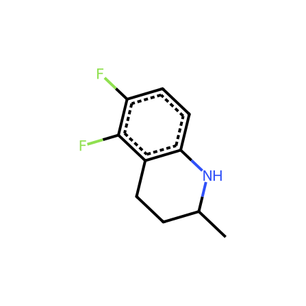 CC1CCc2c(ccc(F)c2F)N1